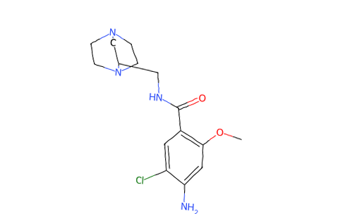 COc1cc(N)c(Cl)cc1C(=O)NCC1CN2CCN1CC2